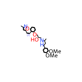 COc1ccc(CCC(C)NCC(O)COc2ccccc2/C=C\c2cc(C)no2)cc1OC